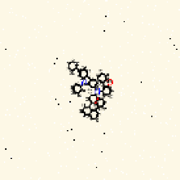 c1ccc(-c2cccc3cccc(-c4ccc(N(c5ccc6c7ccc(C8CCCCC8)cc7n(-c7ccccc7)c6c5)c5cccc6oc7ccccc7c56)cc4)c23)cc1